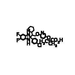 CC(C)(Oc1ccc(OCC(C2CCCCC2)C2(c3ccc(Cl)cc3)Nc3cc(F)c(F)cc3N2)nc1)C(=O)O